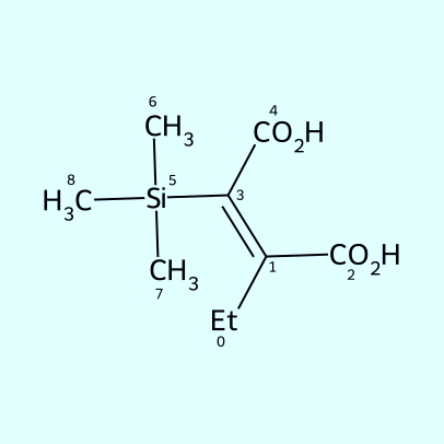 CCC(C(=O)O)=C(C(=O)O)[Si](C)(C)C